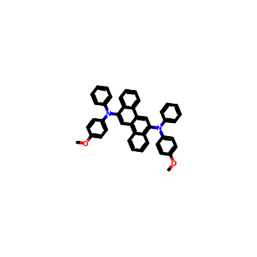 COc1ccc(N(c2ccccc2)c2cc3c4ccccc4c(N(c4ccccc4)c4ccc(OC)cc4)cc3c3ccccc23)cc1